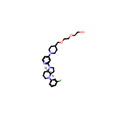 OCCOCCOCC1CCN(c2ccnc(N3CC[C@@H]4[C@H]3CCCN4c3cccc(F)c3)c2)CC1